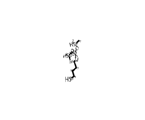 C[SiH](C)O[SiH](OCCCCS)O[SiH](C)C